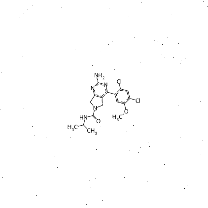 COc1cc(-c2nc(N)nc3c2CN(C(=O)NC(C)C)C3)c(Cl)cc1Cl